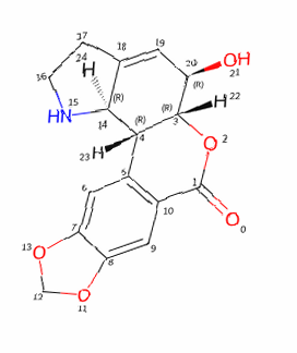 O=C1O[C@@H]2[C@H](c3cc4c(cc31)OCO4)[C@H]1NCCC1=C[C@H]2O